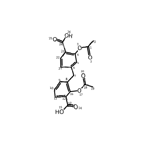 CC(=O)Oc1cc(Cc2cccc(C(=O)O)c2OC(C)=O)ccc1C(=O)O